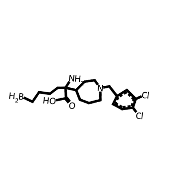 BCCCCC(N)(C(=O)O)C1CCCN(Cc2ccc(Cl)c(Cl)c2)CC1